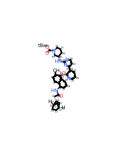 Cc1ccc2c(NC(=O)C[C@@H]3C[C@H]4CC[C@H]3C4)cccc2c1Oc1ncccc1-c1ccnc(N[C@H]2CCCN(C(=O)OC(C)(C)C)C2)n1